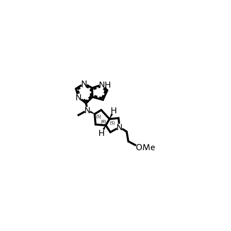 COCCN1C[C@H]2C[C@H](N(C)c3ncnc4[nH]ccc34)C[C@H]2C1